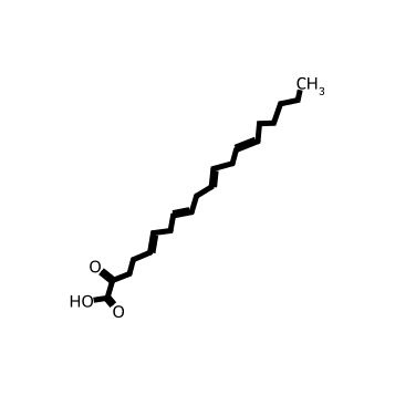 CCCCCC=CCC=CCC=CCC=CCCC(=O)C(=O)O